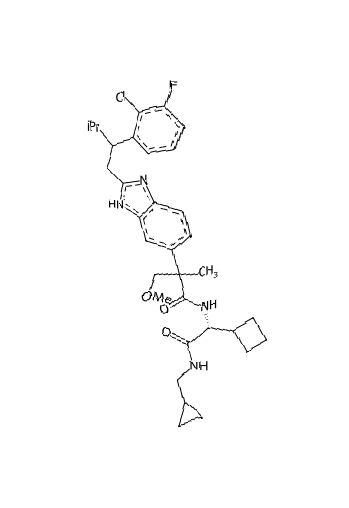 COCC(C)(C(=O)N[C@@H](C(=O)NCC1CC1)C1CCC1)c1ccc2nc(CC(c3cccc(F)c3Cl)C(C)C)[nH]c2c1